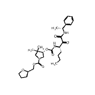 CCCC[C@H](NC(=O)O[C@@H]1CN(C(=O)OCC2CCCO2)CC1(C)C)C(=O)C(=O)N[C@H](C)c1ccccc1